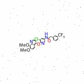 COc1ccc2c(Oc3ncc(NC(=O)Cc4cccc(C(F)(F)F)c4)cc3Cl)ccnc2c1OC